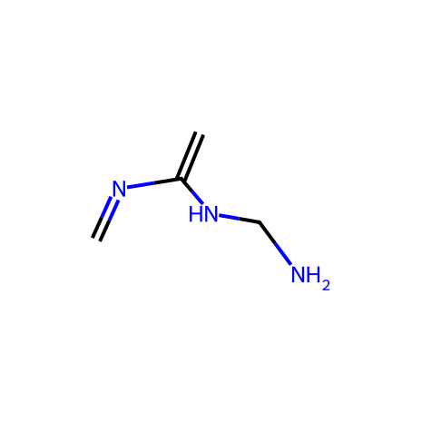 C=NC(=C)NCN